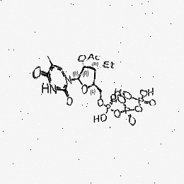 CC[C@H]1[C@@H](OC(C)=O)[C@H](n2cc(C)c(=O)[nH]c2=O)O[C@@H]1COP(=O)(O)OP(=O)(O)OP(=O)(O)O